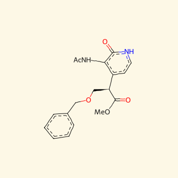 COC(=O)[C@@H](COCc1ccccc1)c1cc[nH]c(=O)c1NC(C)=O